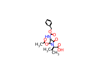 CC(=O)O[C@H]1[C@H](NC(=O)OCc2ccccc2)C(=O)N1C(C(=O)O)=C(C)C